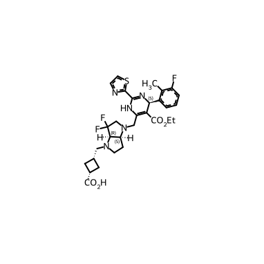 CCOC(=O)C1=C(CN2CC(F)(F)[C@H]3[C@@H]2CCN3C[C@H]2C[C@@H](C(=O)O)C2)NC(c2nccs2)=N[C@H]1c1cccc(F)c1C